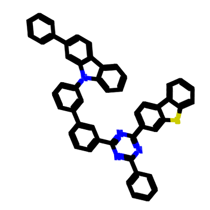 c1ccc(-c2ccc3c4ccccc4n(-c4cccc(-c5cccc(-c6nc(-c7ccccc7)nc(-c7ccc8c(c7)sc7ccccc78)n6)c5)c4)c3c2)cc1